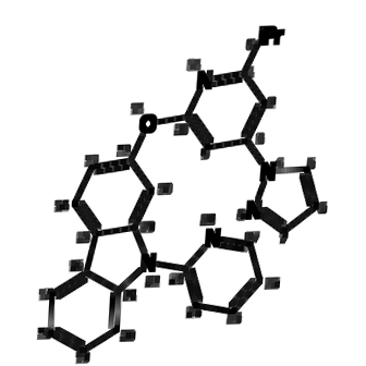 CC(C)c1cc(-n2cccn2)cc(Oc2ccc3c4ccccc4n(-c4ccccn4)c3c2)n1